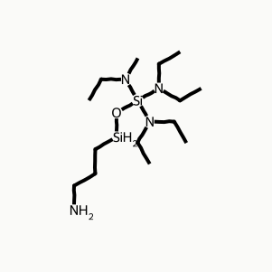 CCN(C)[Si](O[SiH2]CCCN)(N(CC)CC)N(CC)CC